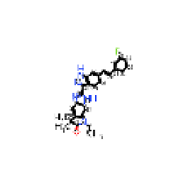 CCN1C(=O)C(C)(C)c2cc3nc(-c4n[nH]c5cc(C=Cc6cccc(F)c6)ccc45)[nH]c3cc21